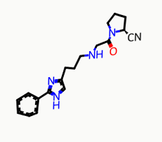 N#C[C@@H]1CCCN1C(=O)CNCCCc1c[nH]c(-c2ccccc2)n1